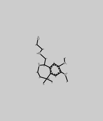 COc1cc2c(cc1OC)C(C)(C)CCSC2COCCCl